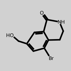 O=C1NCCc2c(Br)cc(CO)cc21